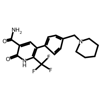 NC(=O)c1cc(-c2ccc(CN3CCCCC3)cc2)c(C(F)(F)F)[nH]c1=O